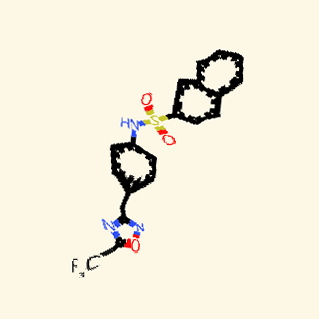 O=S(=O)(Nc1ccc(-c2noc(C(F)(F)F)n2)cc1)c1ccc2ccccc2c1